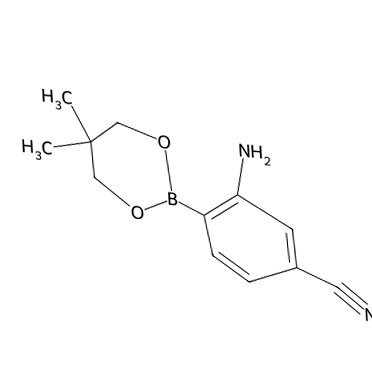 CC1(C)COB(c2ccc(C#N)cc2N)OC1